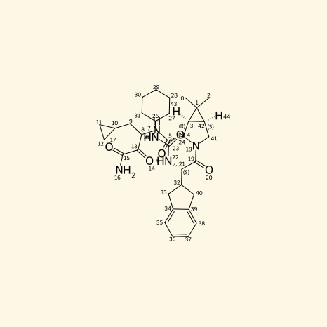 CC1(C)[C@@H]2[C@@H](C(=O)NC(CC3CC3)C(=O)C(N)=O)N(C(=O)[C@@H](NC(=O)NC3CCCCC3)C3Cc4ccccc4C3)C[C@@H]21